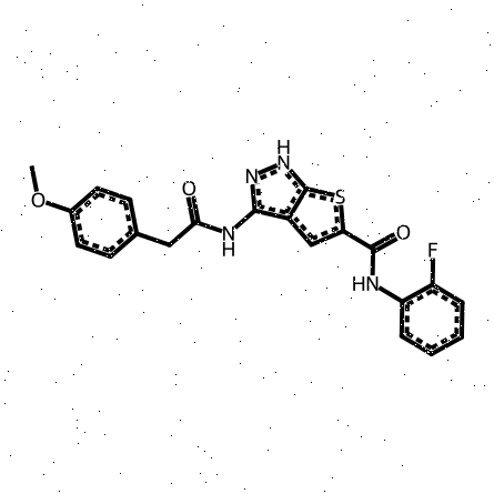 COc1ccc(CC(=O)Nc2n[nH]c3sc(C(=O)Nc4ccccc4F)cc23)cc1